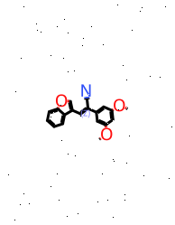 COc1cc(OC)cc(/C(C#N)=C/c2coc3ccccc23)c1